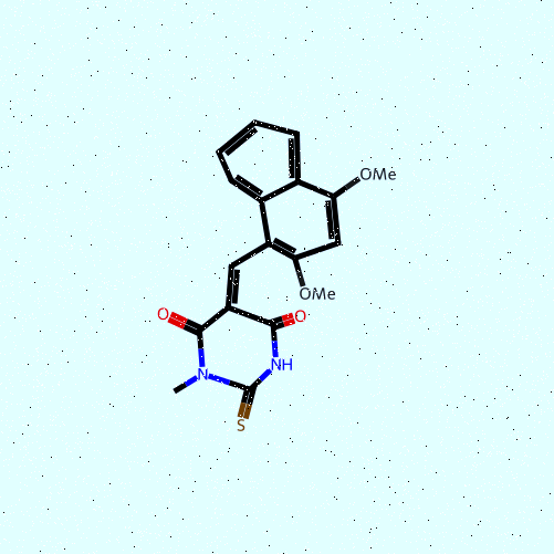 COc1cc(OC)c2ccccc2c1C=C1C(=O)NC(=S)N(C)C1=O